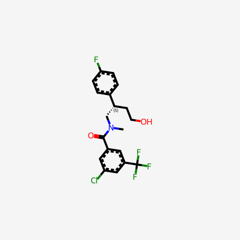 CN(C[C@@H](CCO)c1ccc(F)cc1)C(=O)c1cc(Cl)cc(C(F)(F)F)c1